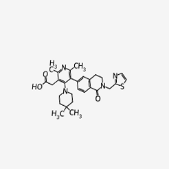 Cc1nc(C)c(-c2ccc3c(c2)CCN(Cc2nccs2)C3=O)c(N2CCC(C)(C)CC2)c1CC(=O)O